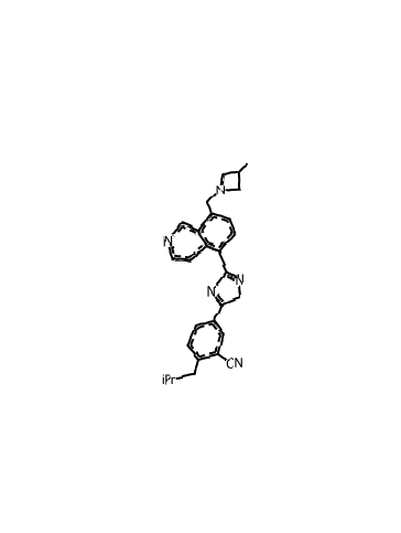 CC(C)Cc1ccc(C2=NC(c3ccc(CN4CC(C)C4)c4cnccc34)=NC2)cc1C#N